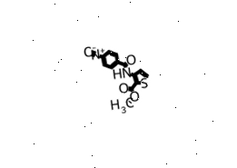 [C-]#[N+]c1ccc(C(=O)Nc2ccsc2C(=O)OC)cc1